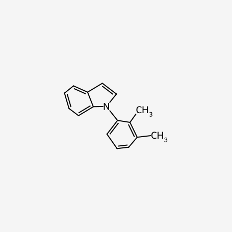 Cc1cccc(-n2ccc3ccccc32)c1C